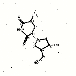 CN1CN([C@@H]2C[C@H](O)[C@@H](CO)O2)C(=O)NC1=O